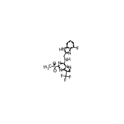 CS(=O)(=O)c1nc(NCc2nc3c(F)cccc3[nH]2)n2ncc(C(F)(F)F)c2n1